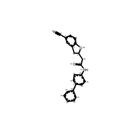 N#Cc1ccc2c(c1)CC(CC(=O)Nc1ccc(-c3ccccc3)cc1)O2